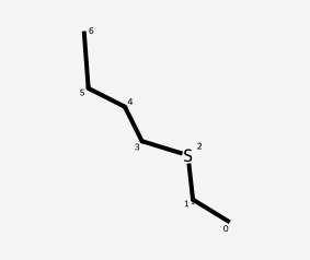 C[CH]SCCCC